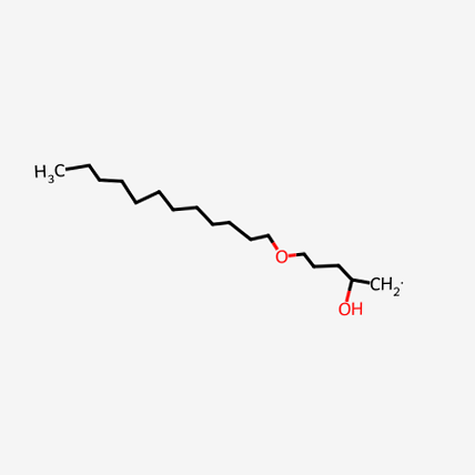 [CH2]C(O)CCCOCCCCCCCCCCCC